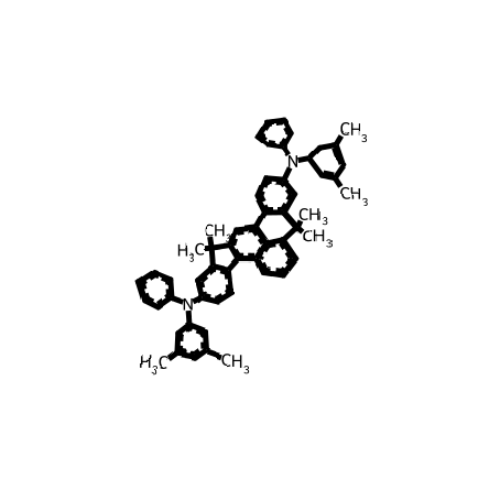 CC1=CC(N(c2ccccc2)c2ccc3c(c2)C(C)(C)c2cccc4c5c(cc-3c24)C(C)(C)c2cc(N(c3ccccc3)c3cc(C)cc(C)c3)ccc2-5)CC(C)=C1